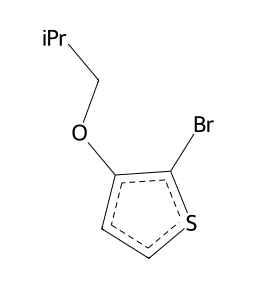 CC(C)COc1ccsc1Br